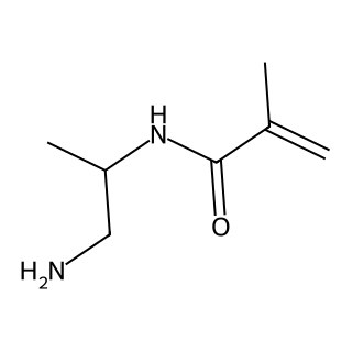 C=C(C)C(=O)NC(C)CN